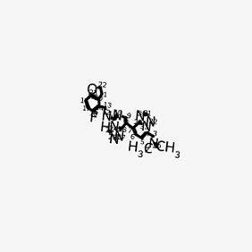 CN(C)Cc1ccc(-c2cnc(NCc3c(F)ccc4c3CCO4)n3cnnc23)c2ncnn12